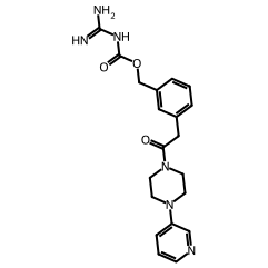 N=C(N)NC(=O)OCc1cccc(CC(=O)N2CCN(c3cccnc3)CC2)c1